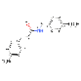 O=C(CCc1ccc([N+](=O)[O-])cc1)NCc1ccc(C(=O)O)cc1